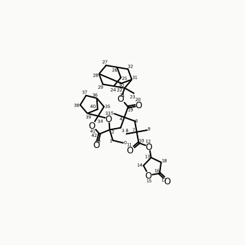 CCC1(CC(C)(CC(C)(C)C(=O)OC2COC(=O)C2)C(=O)OC2(C)C3CC4CC(C3)CC2C4)OC2(CC3CCC2C3)OC1=O